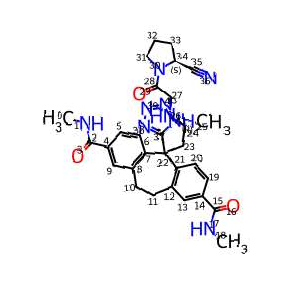 CNC(=O)c1ccc2c(c1)CCc1cc(C(=O)NC)ccc1C2(C[C@@H](C)NCC(=O)N1CCC[C@H]1C#N)c1nnn[nH]1